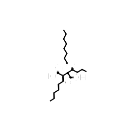 CCCCCCCCOC(C(=O)O)(C(=O)CCC)C(CCCCCC)C(=O)O